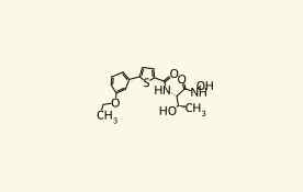 CCOc1cccc(-c2ccc(C(=O)N[C@H](C(=O)NO)[C@@H](C)O)s2)c1